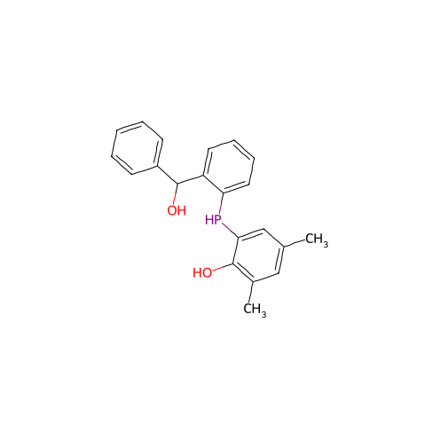 Cc1cc(C)c(O)c(Pc2ccccc2C(O)c2ccccc2)c1